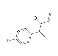 C=CC(=O)C(C)c1ccc(F)cc1